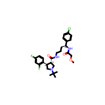 COCC(=O)N[C@@H](CCCNC(=O)[C@@H]1CN(C(C)(C)C)C[C@H]1c1ccc(F)cc1F)c1ccc(Cl)cc1